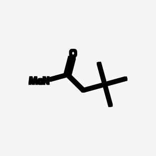 [CH2]NC(=O)CC(C)(C)C